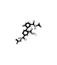 C=C(C)CNC(=O)c1ccc(-c2cc(C(=O)NC3CC3)ccc2C)c(C(N)=O)c1